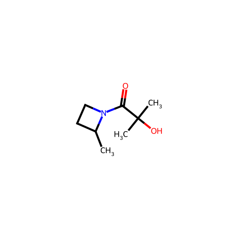 CC1CCN1C(=O)C(C)(C)O